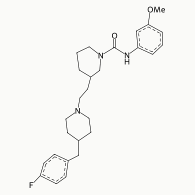 COc1cccc(NC(=O)N2CCCC(CCN3CCC(Cc4ccc(F)cc4)CC3)C2)c1